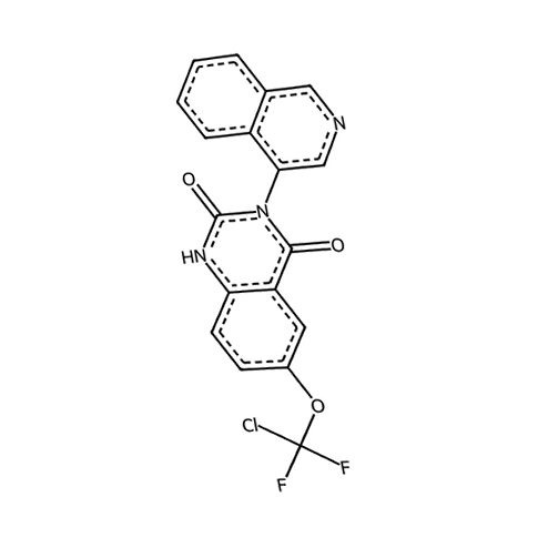 O=c1[nH]c2ccc(OC(F)(F)Cl)cc2c(=O)n1-c1cncc2ccccc12